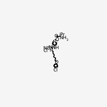 CC(C)[C@H](N)C(=O)OC[n+]1ccc(N/C(=N\CCCCCCOc2ccc(Cl)cc2)NC#N)cc1.[Cl-]